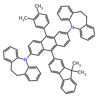 Cc1ccc(-c2c3ccc(N4c5ccccc5CCc5ccccc54)cc3c(-c3ccc4c(c3)C(C)(C)c3ccccc3-4)c3ccc(N4c5ccccc5CCc5ccccc54)cc23)cc1C